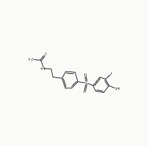 O=C(NCCc1ccc(S(=O)(=O)c2ccc(O)c(F)c2)cc1)C(F)(F)F